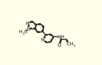 C=CC(=O)Nc1ccnc(-c2ccc3cnn(C)c3c2)c1